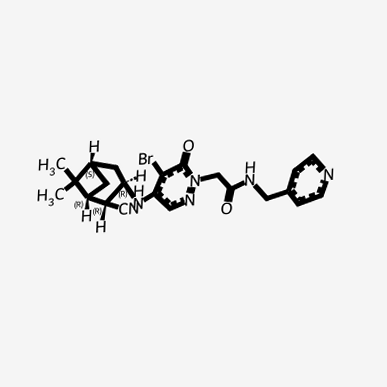 CC1(C)[C@H]2C[C@@H]1[C@@H](C#N)[C@H](Nc1cnn(CC(=O)NCc3ccncc3)c(=O)c1Br)C2